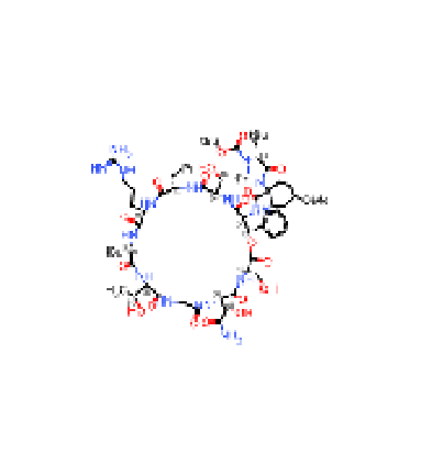 CC[C@H](C)[C@@H]1NC(=O)[C@@H](CCCNC(=N)N)NC(=O)[C@H](CC(C)C)NC(=O)[C@H]([C@H](O)C(C)C)NC(=O)[C@@H](NC(=O)C2(NC(=O)[C@@H](CC(C)(C)C)NC(=O)OC(C)(C)C)CCC(OC)CC2)[C@@H](c2ccccc2)OC(=O)[C@H](CO)NC(=O)[C@H]([C@H](O)C(N)=O)NC(=O)CNC(=O)[C@H]([C@H](C)O)NC1=O